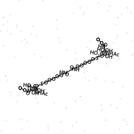 CC(=O)N[C@H]1[C@H]([C@H](O)[C@H](O)CNC(=O)c2ccc(-c3ccccc3)cc2)O[C@@](OCCCSCCOCCOCCOCCOCCOCCNC(=O)CCCCC(=O)NCCOCCOCCOCCOCCOCCSCCCO[C@]2(C(=O)O)C[C@H](O)[C@@H](NC(C)=O)[C@H]([C@H](O)[C@H](O)CNC(=O)c3ccc(-c4ccccc4)cc3)O2)(C(=O)O)C[C@@H]1O